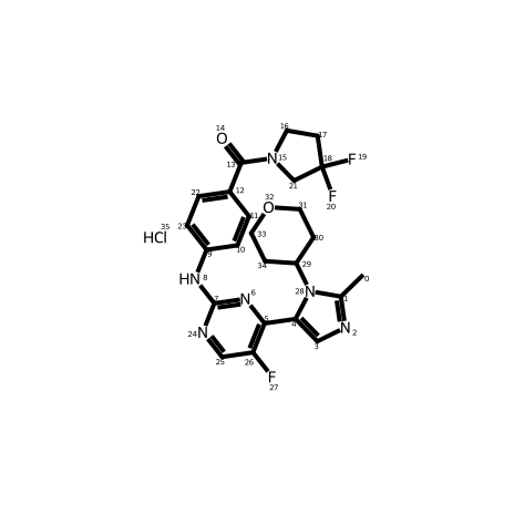 Cc1ncc(-c2nc(Nc3ccc(C(=O)N4CCC(F)(F)C4)cc3)ncc2F)n1C1CCOCC1.Cl